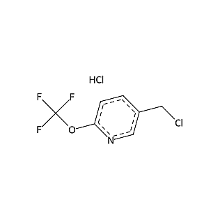 Cl.FC(F)(F)Oc1ccc(CCl)cn1